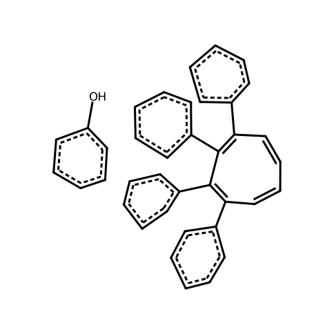 C1=CC(c2ccccc2)=C(c2ccccc2)C(c2ccccc2)=C(c2ccccc2)C=C1.Oc1ccccc1